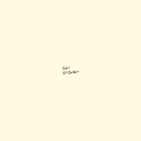 [Ga+3].[In+3].[O-2].[Zn+3]